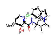 COc1ccnc(C(=O)NC(C)(C(=O)O)C(C)C(C)n2ccc3ccc(Cl)cc32)c1O